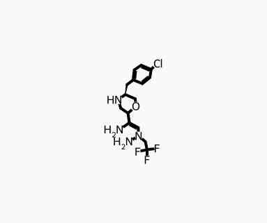 N/C(=C\N(N)CC(F)(F)F)C1CN[C@@H](Cc2ccc(Cl)cc2)CO1